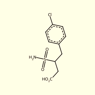 NS(=O)(=O)C(CC(=O)O)Cc1ccc(Cl)cc1